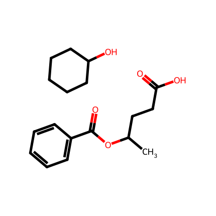 CC(CCC(=O)O)OC(=O)c1ccccc1.OC1CCCCC1